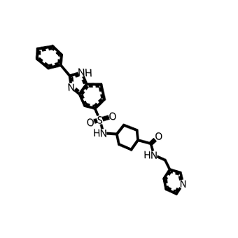 O=C(NCc1cccnc1)C1CCC(NS(=O)(=O)c2ccc3[nH]c(-c4ccccc4)nc3c2)CC1